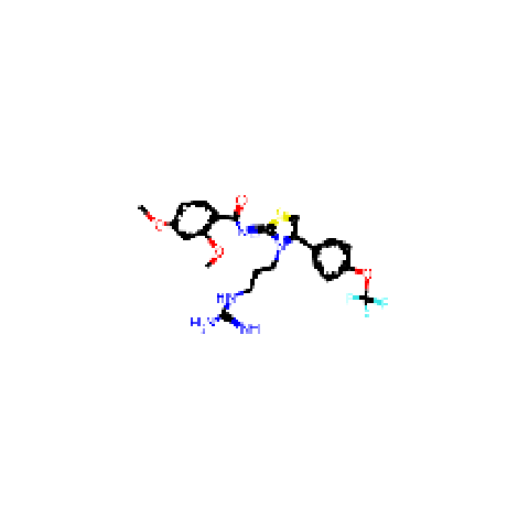 COc1ccc(C(=O)/N=c2\scc(-c3ccc(OC(F)(F)F)cc3)n2CCCNC(=N)N)c(OC)c1